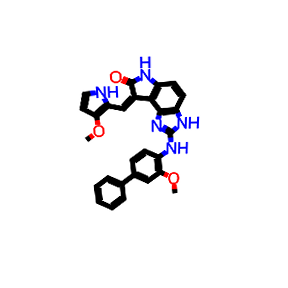 COc1cc(-c2ccccc2)ccc1Nc1nc2c3c(ccc2[nH]1)NC(=O)/C3=C\c1[nH]ccc1OC